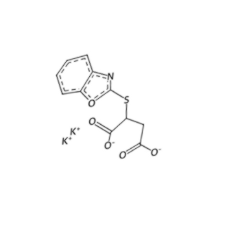 O=C([O-])CC(Sc1nc2ccccc2o1)C(=O)[O-].[K+].[K+]